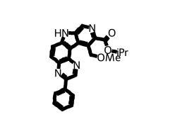 COCc1c(C(=O)OC(C)C)ncc2[nH]c3ccc4nc(-c5ccccc5)cnc4c3c12